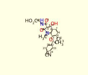 CC(Oc1c(C(F)(F)F)ccc2c(O)c(C(=O)NCC(=O)O)c(=O)n(C)c12)c1ccc(C#N)cc1